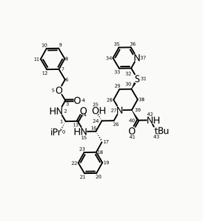 CC(C)[C@H](NC(=O)OCc1ccccc1)C(=O)N[C@@H](Cc1ccccc1)[C@H](O)CN1CC[C@@H](Sc2ccccn2)C[C@H]1C(=O)NC(C)(C)C